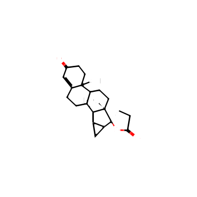 CC12CCC(=O)C=C1CCC1C2CC[C@@]2(C)C1C1CC1[C@@]21CCC(=O)O1